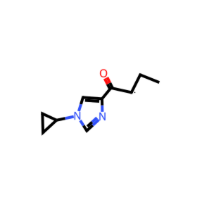 CC[CH]C(=O)c1cn(C2CC2)cn1